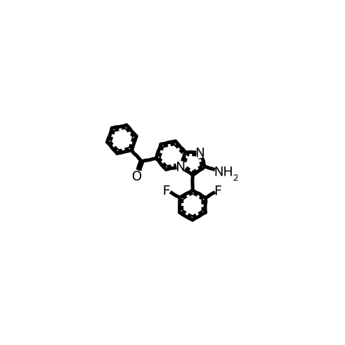 Nc1nc2ccc(C(=O)c3ccccc3)cn2c1-c1c(F)cccc1F